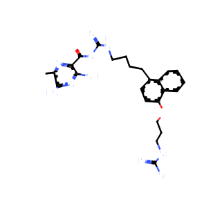 Cc1nc(C(=O)NC(=N)NCCCCc2ccc(OCCCNC(=N)N)c3ccccc23)c(N)nc1N